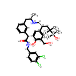 C[C@H](Cc1cccc(CC(=O)NCc2ccc(Cl)c(Cl)c2)c1)NC[C@H](CC(C)(C)[Si](C)(C)O)c1ccc(O)c(CO)c1